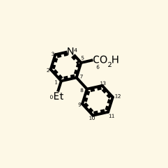 CCc1ccnc(C(=O)O)c1-c1ccccc1